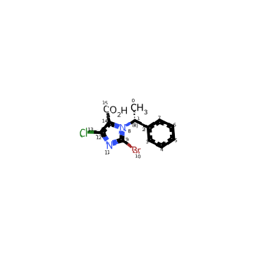 C[C@H](c1ccccc1)n1c(Br)nc(Cl)c1C(=O)O